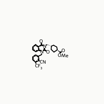 COC(=O)[C@H]1CC[C@H](Cn2c(=O)c3ccccc3n(Cc3cccc(C(F)(F)F)c3C#N)c2=O)CC1